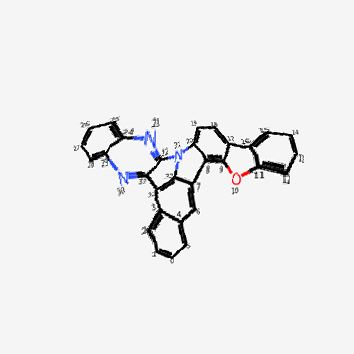 c1ccc2c(c1)cc1c3c4oc5ccccc5c4ccc3n3c4nc5ccccc5nc4c2c13